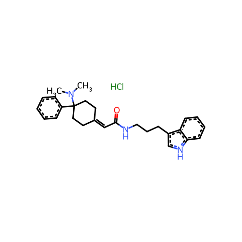 CN(C)C1(c2ccccc2)CCC(=CC(=O)NCCCc2c[nH]c3ccccc23)CC1.Cl